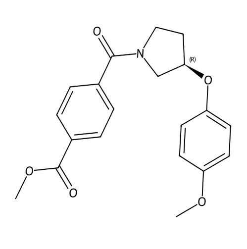 COC(=O)c1ccc(C(=O)N2CC[C@@H](Oc3ccc(OC)cc3)C2)cc1